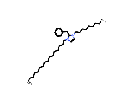 CCCCCCCCCCCCCCCCN1C=CN(CCCCCCCCC)C1Cc1ccccc1